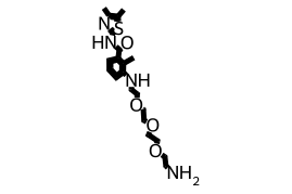 Cc1nc(NC(=O)c2cccc(NCCOCCOCCOCCN)c2C)sc1C